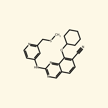 CSCc1cc(Nc2ncc3ccc(C#N)c(OC4CCCCC4)c3n2)ccn1